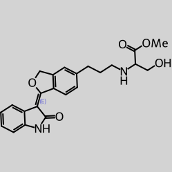 COC(=O)C(CO)NCCCc1ccc2c(c1)CO/C2=C1/C(=O)Nc2ccccc21